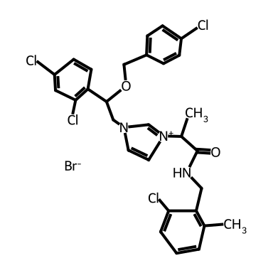 Cc1cccc(Cl)c1CNC(=O)C(C)[n+]1ccn(CC(OCc2ccc(Cl)cc2)c2ccc(Cl)cc2Cl)c1.[Br-]